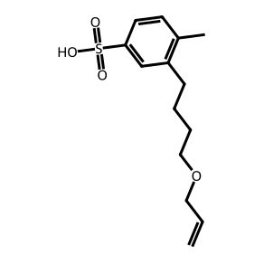 C=CCOCCCCc1cc(S(=O)(=O)O)ccc1C